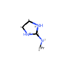 CCC[N]C1NCCN1